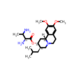 COc1cc2c(cc1OC)[C@H]1C[C@@H](OC(=O)[C@@H](N)C(C)N)[C@H](CC(C)C)CN1CC2